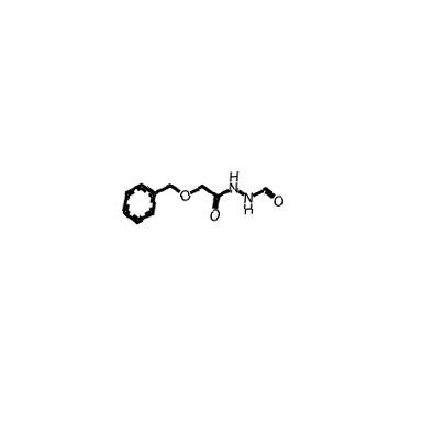 O=CNNC(=O)COCc1ccccc1